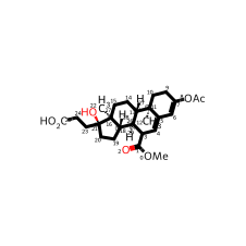 COC(=O)C1C=C2C=C(OC(C)=O)CC[C@]2(C)[C@H]2CC[C@@]3(C)[C@@H](CC[C@]3(O)CCC(=O)O)[C@H]12